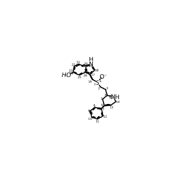 [O-][S+](CCC1CC(c2ccccc2)=CCN1)Cc1c[nH]c2ccc(O)cc12